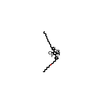 CCCCCCCCCCCCc1csc(-c2c(F)c(Cl)c(-c3cc(CCCCCCCCCCCC)cs3)c3nsnc23)c1